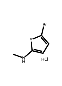 CNc1ccc(Br)s1.Cl